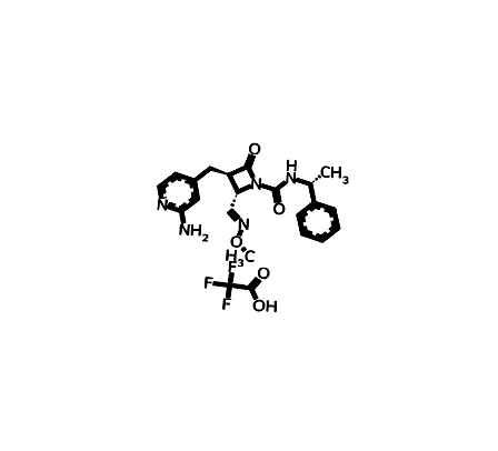 CO/N=C/[C@@H]1[C@@H](Cc2ccnc(N)c2)C(=O)N1C(=O)N[C@H](C)c1ccccc1.O=C(O)C(F)(F)F